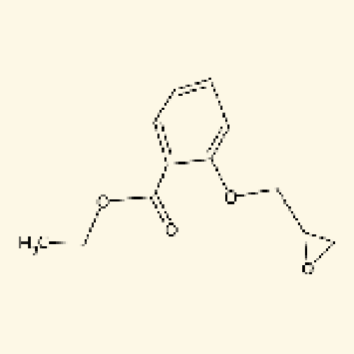 CCOC(=O)c1ccccc1OCC1CO1